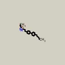 CCCCCc1ccc(-c2ccc(CCc3nnc(CC)s3)cc2)cc1